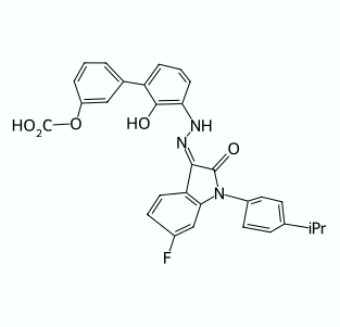 CC(C)c1ccc(N2C(=O)C(=NNc3cccc(-c4cccc(OC(=O)O)c4)c3O)c3ccc(F)cc32)cc1